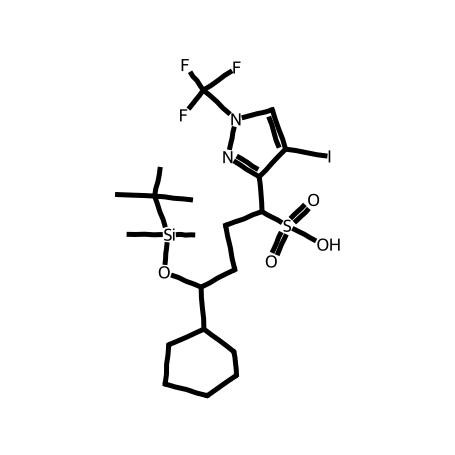 CC(C)(C)[Si](C)(C)OC(CCC(c1nn(C(F)(F)F)cc1I)S(=O)(=O)O)C1CCCCC1